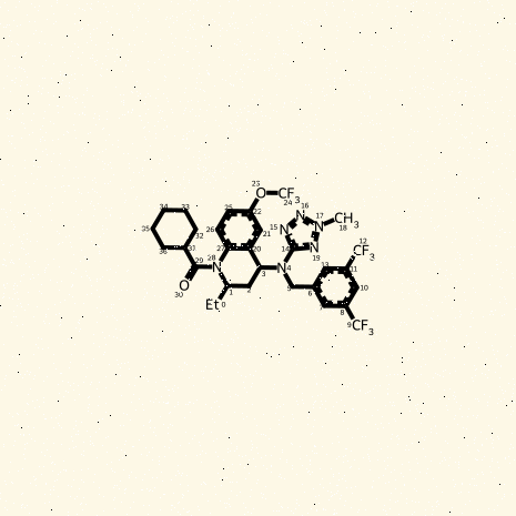 CCC1CC(N(Cc2cc(C(F)(F)F)cc(C(F)(F)F)c2)c2nnn(C)n2)c2cc(OC(F)(F)F)ccc2N1C(=O)C1CCCCC1